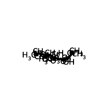 CCC(C)(CC(C)(C)C(=O)OCC[N+](C)(C)C)C(=O)OCCOP(=O)(O)OCC[N+](C)(C)C